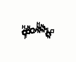 N[C@@H]1c2cccc(F)c2CC12CCN(c1nc3nc(Sc4ccncc4Cl)cnc3[nH]1)CC2